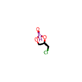 O=[PH]1OCC(CCl)O1